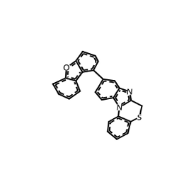 c1ccc2c(c1)SCc1nc3cc(-c4cccc5oc6ccccc6c45)ccc3n1-2